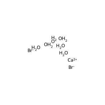 O.O.O.O.O.O.[Br-].[Br-].[Ca+2]